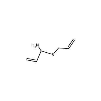 C=CCSC(N)C=C